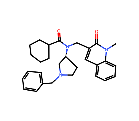 Cn1c(=O)c(CN(C(=O)C2CCCCC2)[C@H]2CCN(Cc3ccccc3)C2)cc2ccccc21